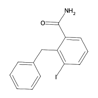 NC(=O)c1cccc(I)c1Cc1ccccc1